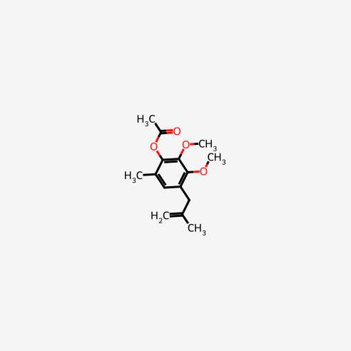 C=C(C)Cc1cc(C)c(OC(C)=O)c(OC)c1OC